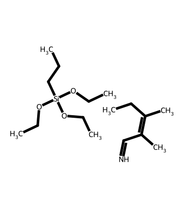 CCC(C)=C(C)C=N.CCC[Si](OCC)(OCC)OCC